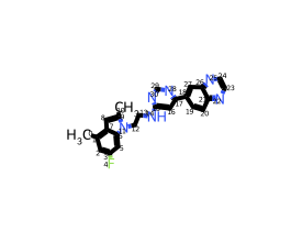 Cc1cc(F)cc2c1cc(C)n2CCNc1cc(-c2ccc3nccnc3c2)ncn1